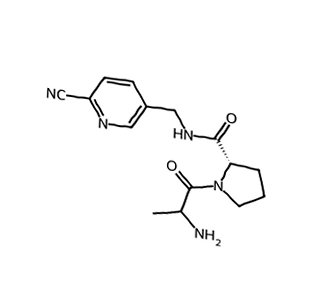 CC(N)C(=O)N1CCC[C@H]1C(=O)NCc1ccc(C#N)nc1